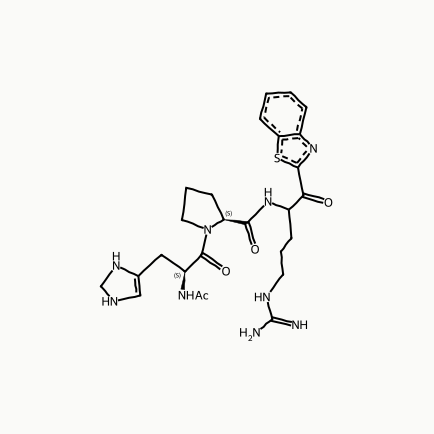 CC(=O)N[C@@H](CC1=CNCN1)C(=O)N1CCC[C@H]1C(=O)NC(CCCNC(=N)N)C(=O)c1nc2ccccc2s1